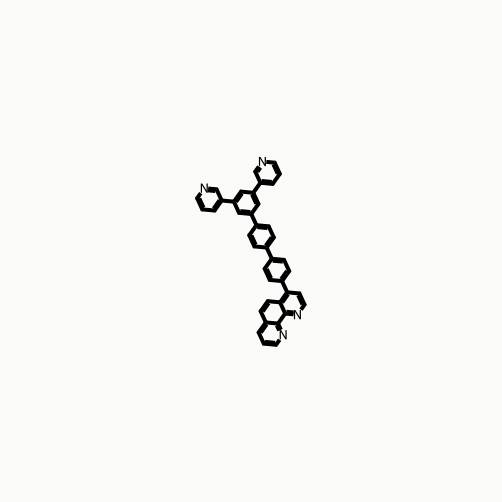 c1cncc(-c2cc(-c3ccc(-c4ccc(-c5ccnc6c5ccc5cccnc56)cc4)cc3)cc(-c3cccnc3)c2)c1